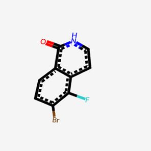 O=c1[nH]ccc2c(F)c(Br)ccc12